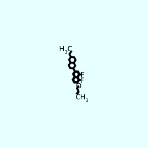 C/C=C/COc1ccc2cc(C3CCC4CC(CCC)CCC4C3)cc(F)c2c1F